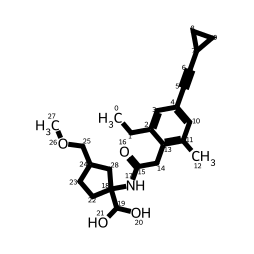 CCc1cc(C#CC2CC2)cc(C)c1CC(=O)NC1(C(O)O)CCC(COC)C1